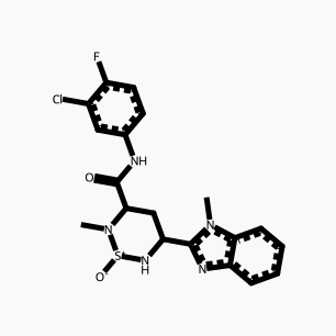 CN1C(C(=O)Nc2ccc(F)c(Cl)c2)CC(c2nc3ccccc3n2C)N[S+]1[O-]